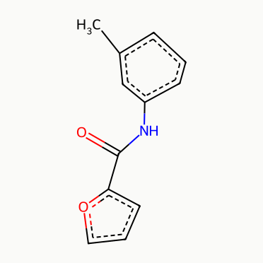 Cc1cccc(NC(=O)c2ccco2)c1